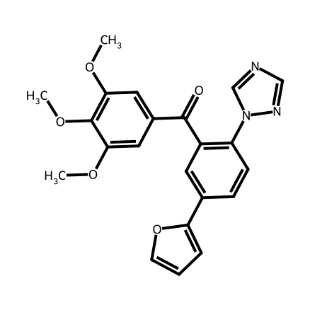 COc1cc(C(=O)c2cc(-c3ccco3)ccc2-n2cncn2)cc(OC)c1OC